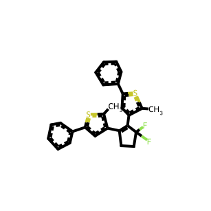 Cc1sc(-c2ccccc2)cc1C1=C(c2cc(-c3ccccc3)sc2C)C(F)(F)CC1